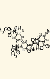 COC(=O)N(C)c1ccc(-c2cc3c(C(=O)Nc4ccc(C#N)cc4C(=O)O)noc3cc2NC(C)=O)cc1